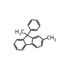 Cc1ccc2c(c1)C(C)(c1ccccc1)c1ccccc1-2